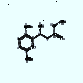 COc1ccc(OC)c(C(O)CC(=O)OC(C)(C)C)c1